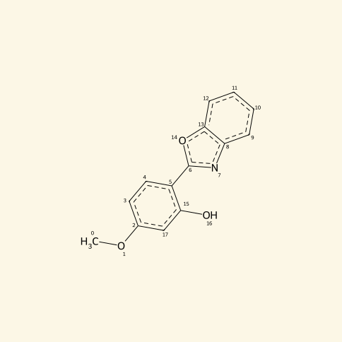 COc1ccc(-c2nc3ccccc3o2)c(O)c1